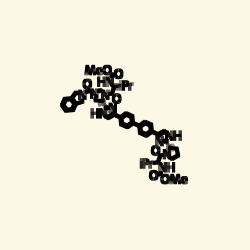 COC(=O)NC(C(=O)N1CCC[C@H]1c1nc(-c2ccc(-c3ccc(-c4c[nH]c([C@@H]5CN(C(=O)N6Cc7ccccc7C6)CN5C(=O)[C@@H](NC(=O)OC)C(C)C)n4)cc3)cc2)c[nH]1)C(C)C